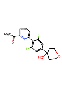 COC(=O)c1cccc(-c2c(F)cc(C3(O)CCOCC3)cc2F)n1